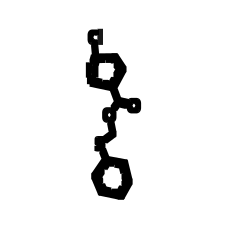 O=C(OCSc1ccccc1)c1ccc(Cl)nc1